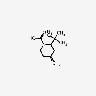 C=C1CCN(C(=O)O)C(C(C)(C)C)C1